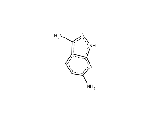 Nc1ccc2c(N)n[nH]c2n1